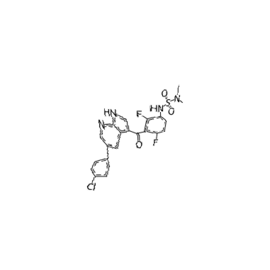 CN(C)S(=O)(=O)Nc1ccc(F)c(C(=O)c2c[nH]c3ncc(-c4ccc(Cl)cc4)cc23)c1F